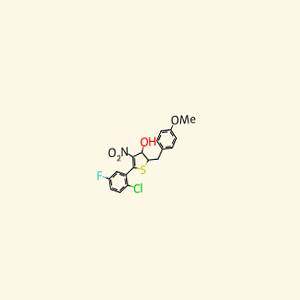 COc1ccc(CC2SC(c3cc(F)ccc3Cl)=C([N+](=O)[O-])C2O)cc1